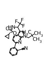 CC(C)(C)Cn1cc(C(NS(=O)(=O)C2CC2)C(F)(F)F)c2ccc(-c3ccccc3C#N)nc21